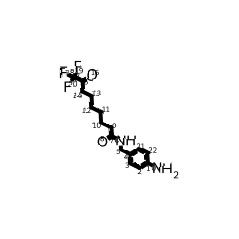 Nc1ccc(CNC(=O)CCCCCCC(=O)C(F)(F)F)cc1